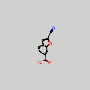 N#Cc1cc2ccc(C(=O)O)cc2o1